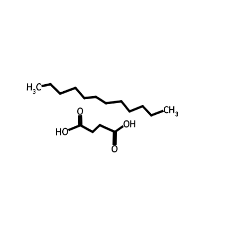 CCCCCCCCCCCC.O=C(O)CCC(=O)O